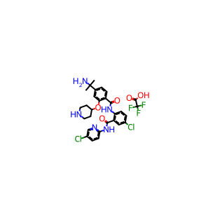 CC(C)(N)c1ccc(C(=O)Nc2ccc(Cl)cc2C(=O)Nc2ccc(Cl)cn2)c(OC2CCNCC2)c1.O=C(O)C(F)(F)F